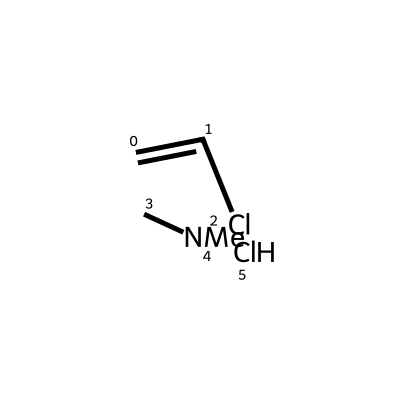 C=CCl.CNC.Cl